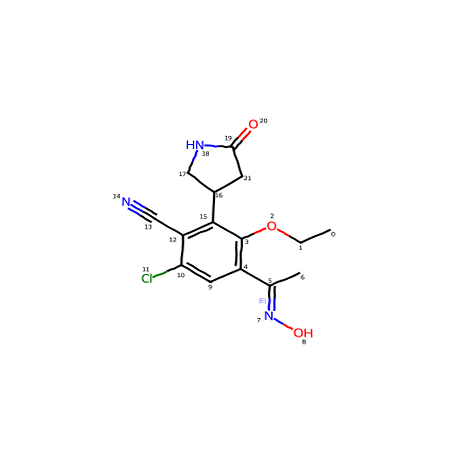 CCOc1c(/C(C)=N/O)cc(Cl)c(C#N)c1C1CNC(=O)C1